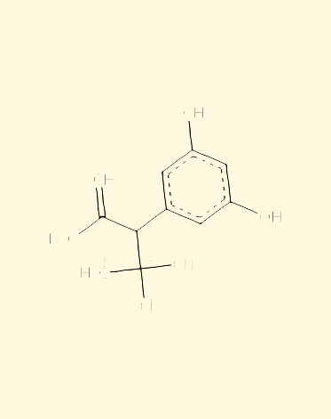 C=C(C)C(c1cc(C)cc(O)c1)C(C)(C)Cl